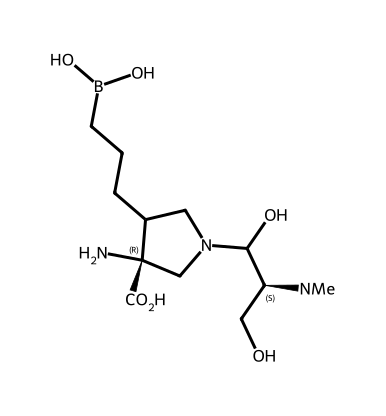 CN[C@@H](CO)C(O)N1CC(CCCB(O)O)[C@](N)(C(=O)O)C1